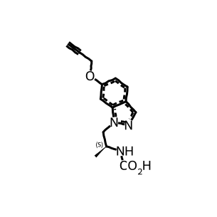 C#CCOc1ccc2cnn(C[C@H](C)NC(=O)O)c2c1